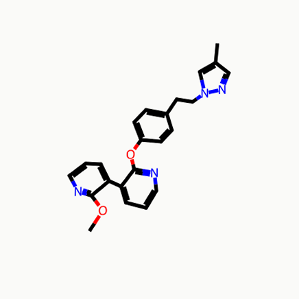 COc1ncccc1-c1cccnc1Oc1ccc(CCn2cc(C)cn2)cc1